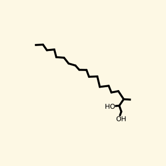 CCCCCCCCCCCCCCCCC(C)C(O)CO